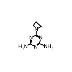 Nc1nc(N)nc(N2CCC2)n1